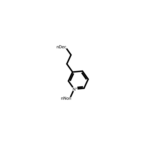 CCCCCCCCCCCCc1ccc[n+](CCCCCCCCC)c1